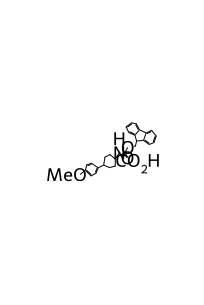 COc1ccc(C2CCC(NC(=O)OCC3c4ccccc4-c4ccccc43)(C(=O)O)CC2)cc1